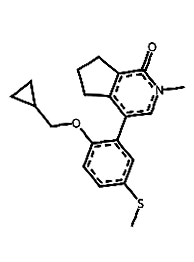 CSc1ccc(OCC2CC2)c(-c2cn(C)c(=O)c3c2CCC3)c1